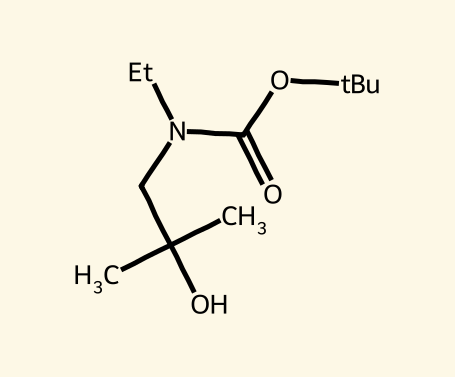 CCN(CC(C)(C)O)C(=O)OC(C)(C)C